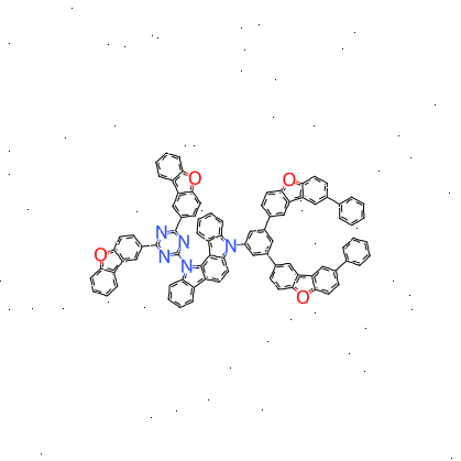 c1ccc(-c2ccc3oc4ccc(-c5cc(-c6ccc7oc8ccc(-c9ccccc9)cc8c7c6)cc(-n6c7ccccc7c7c6ccc6c8ccccc8n(-c8nc(-c9ccc%10oc%11ccccc%11c%10c9)nc(-c9ccc%10oc%11ccccc%11c%10c9)n8)c67)c5)cc4c3c2)cc1